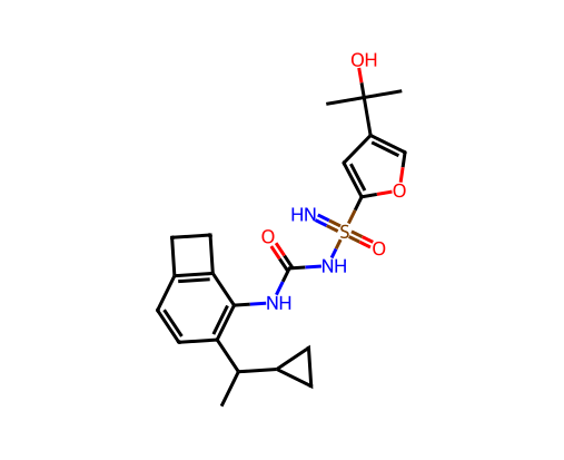 CC(c1ccc2c(c1NC(=O)NS(=N)(=O)c1cc(C(C)(C)O)co1)CC2)C1CC1